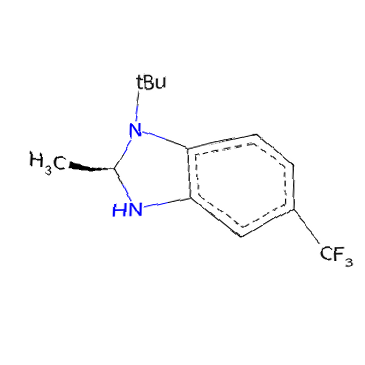 C[C@@H]1Nc2cc(C(F)(F)F)ccc2N1C(C)(C)C